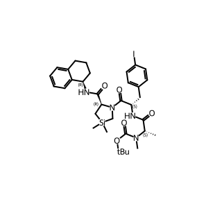 C[C@@H](C(=O)N[C@@H](Cc1ccc(I)cc1)C(=O)N1C[Si](C)(C)C[C@H]1C(=O)N[C@@H]1CCCc2ccccc21)N(C)C(=O)OC(C)(C)C